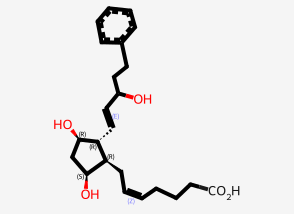 O=C(O)CCC/C=C\C[C@@H]1[C@@H](/C=C/C(O)CCc2ccccc2)[C@H](O)C[C@@H]1O